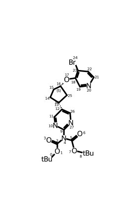 CC(C)(C)OC(=O)N(C(=O)OC(C)(C)C)c1ncc([C@@H]2CC[C@H](Oc3cnccc3Br)C2)cn1